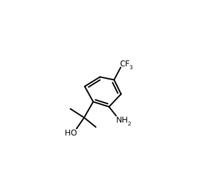 CC(C)(O)c1ccc(C(F)(F)F)cc1N